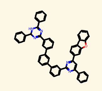 c1ccc(C2=NC(c3cccc(-c4cccc(-c5cccc(-c6nc(-c7ccccc7)cc(-c7ccc8c(c7)oc7ccccc78)n6)c5)c4)c3)=NC(c3ccccc3)N2)cc1